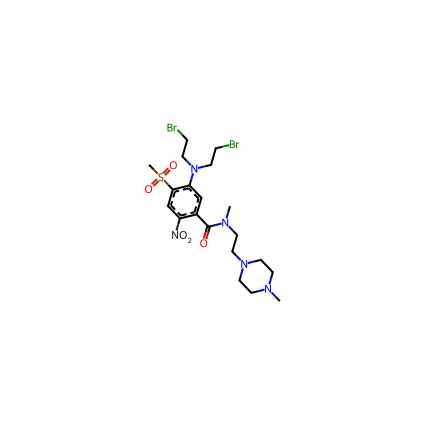 CN1CCN(CCN(C)C(=O)c2cc(N(CCBr)CCBr)c(S(C)(=O)=O)cc2[N+](=O)[O-])CC1